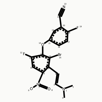 CN(C)C=Cc1c([N+](=O)[O-])cc(F)c(Oc2ccc(F)c(C#N)c2)c1Br